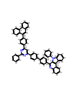 c1ccc(-c2nc(-c3ccc(-c4ccc(-c5nc6ccccc6c6c7ccccc7n(-c7ccccc7)c56)cc4)cc3)cc(-c3ccc(-c4cc5ccccc5c5ccccc45)cc3)n2)cc1